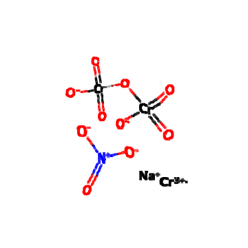 O=[N+]([O-])[O-].[Cr+3].[Na+].[O]=[Cr](=[O])([O-])[O][Cr](=[O])(=[O])[O-]